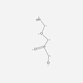 CCCCOCC(=O)C[O]